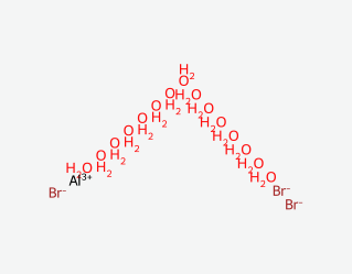 O.O.O.O.O.O.O.O.O.O.O.O.O.O.O.[Al+3].[Br-].[Br-].[Br-]